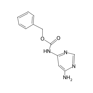 Nc1cc(NC(=O)OCc2ccccc2)ncn1